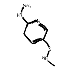 CNSC1=CCC(NN)N=C1